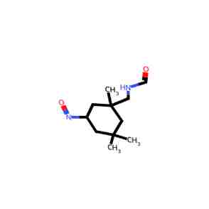 CC1(C)CC(N=O)CC(C)(CNC=O)C1